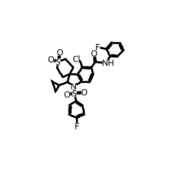 O=C(Nc1ccccc1F)c1ccc2c(c1Cl)C1(CCS(=O)(=O)CC1)C(C1CC1)N2S(=O)(=O)c1ccc(F)cc1